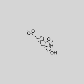 CC[C@H]1C(=O)C2C3CC[C@H](CCCC(=O)OC)[C@@]3(C)CCC2[C@@]2(C)CC[C@@H](O)C[C@@H]12